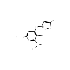 CSc1nc(Nc2cc(C)[nH]n2)c(C)c(N(C)C(C)C)n1